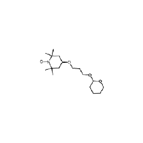 CC1(C)CC(OCCCOC2CCCCO2)CC(C)(C)N1[O]